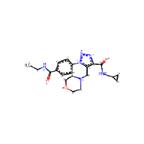 CCNC(=O)c1ccc(-n2nnc(C(=O)NC3CC3)c2CN2CCOCC2)cc1